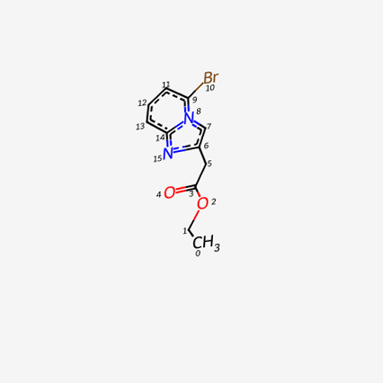 CCOC(=O)Cc1cn2c(Br)cccc2n1